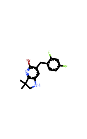 CC1(C)CNc2cc(Cc3ccc(F)cc3F)c(Br)nc21